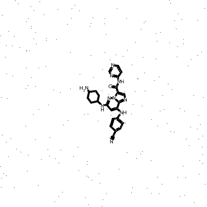 N#Cc1ccc(Nc2cc(NC3CCC(N)CC3)nn3c(C(=O)Nc4ccncn4)cnc23)cc1